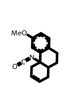 COc1ccc2c(c1)C1(N=C=O)CC=CCC1CC2